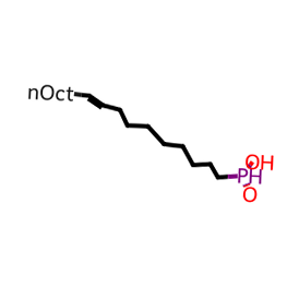 CCCCCCCCC=CCCCCCCCC[PH](=O)O